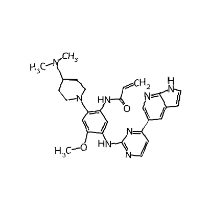 C=CC(=O)Nc1cc(Nc2nccc(-c3cnc4[nH]ccc4c3)n2)c(OC)cc1N1CCC(N(C)C)CC1